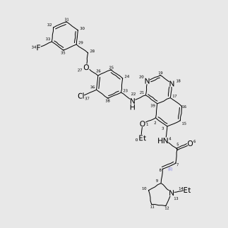 CCOc1c(NC(=O)/C=C/C2CCCN2CC)ccc2ncnc(Nc3ccc(OCc4cccc(F)c4)c(Cl)c3)c12